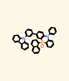 O=P1(c2cccc3ccccc23)c2ccccc2N(c2ccccc2)c2ccc(-c3cccc(-n4c5ccccc5c5ccccc54)c3)cc21